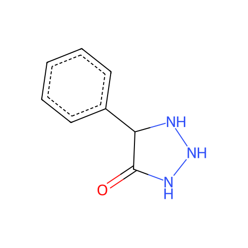 O=C1NNNC1c1ccccc1